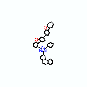 C1=Cc2c(oc3cc(-c4ccc5c(c4)oc4cccc(-c6nc(C7=CC=C8C=Cc9ccccc9C8C7)nc(-c7ccccc7)n6)c45)ccc23)CC1